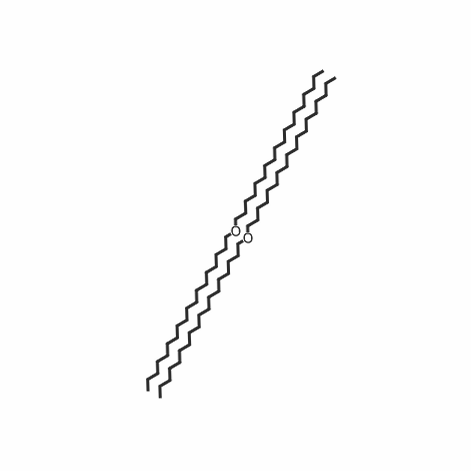 CCCCCCCCCCCCCCCCCCOCCCCCCCCCCCCCCCCCC.CCCCCCCCCCCCCCCCCCOCCCCCCCCCCCCCCCCCC